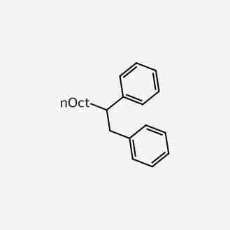 CCCCCCCCC(Cc1ccccc1)c1ccccc1